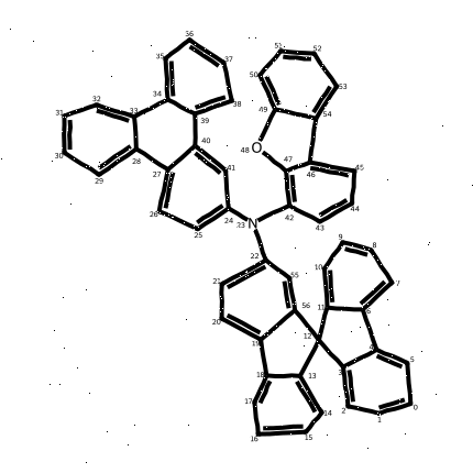 c1ccc2c(c1)-c1ccccc1C21c2ccccc2-c2ccc(N(c3ccc4c5ccccc5c5ccccc5c4c3)c3cccc4c3oc3ccccc34)cc21